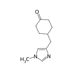 Cn1cnc(CC2CCC(=O)CC2)c1